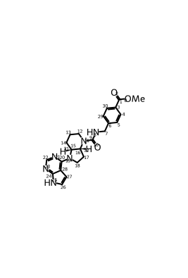 COC(=O)c1ccc(CNC(=O)N2CCC[C@@H]3[C@H]2CCN3c2ncnc3[nH]ccc23)cc1